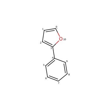 [c]1ccc(-c2ccccc2)o1